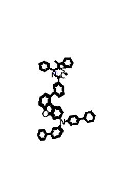 C=C=C(/N=C(/c1ccccc1)c1sc2ccccc2c1C)c1cccc(-c2cccc3oc4cc(N(c5ccc(C6=CC=CCC6)cc5)c5cccc(-c6ccccc6)c5)ccc4c23)c1